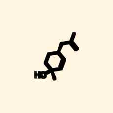 C=C(C)C[C@H]1C=C[C@](C)(O)CC1